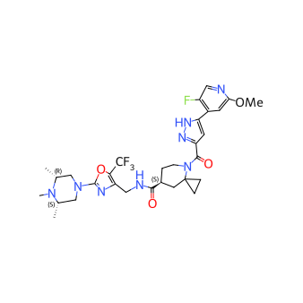 COc1cc(-c2cc(C(=O)N3CC[C@H](C(=O)NCc4nc(N5C[C@@H](C)N(C)[C@@H](C)C5)oc4C(F)(F)F)CC34CC4)n[nH]2)c(F)cn1